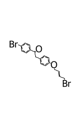 O=C(Cc1ccc(OCC=CCBr)cc1)c1ccc(Br)cc1